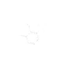 CS(=O)(=O)c1cccc(I)c1[N+](=O)[O-]